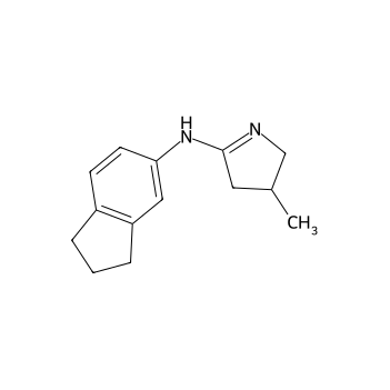 CC1CN=C(Nc2ccc3c(c2)CCC3)C1